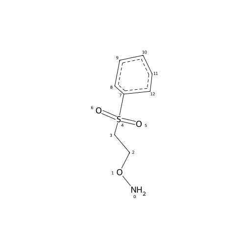 NOCCS(=O)(=O)c1ccccc1